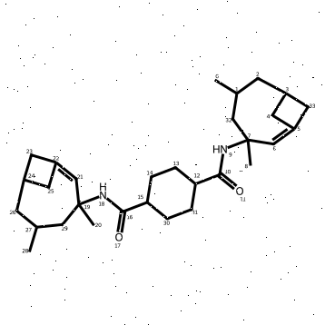 CC1CC2CC(=CC(C)(NC(=O)C3CCC(C(=O)NC4(C)C=C5CC(C5)CC(C)C4)CC3)C1)C2